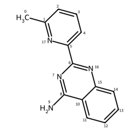 Cc1cccc(-c2nc(N)c3ccccc3n2)n1